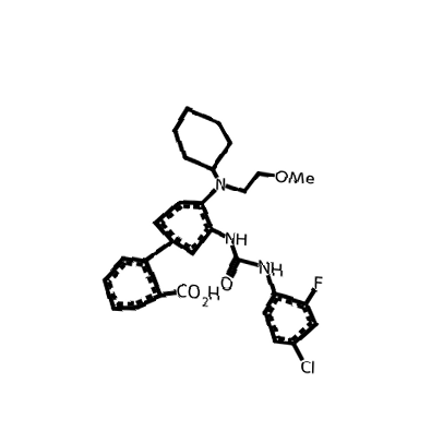 COCCN(c1ccc(-c2ccccc2C(=O)O)cc1NC(=O)Nc1ccc(Cl)cc1F)C1CCCCC1